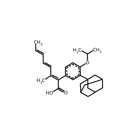 CC=CC=CC(C)=C(C(=O)O)c1ccc(OC(C)C)c(C23CC4CC(CC(C4)C2)C3)c1